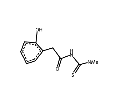 CNC(=S)NC(=O)Cc1ccccc1O